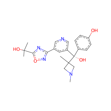 CN1CC(C)([C@](O)(c2ccc(O)cc2)c2cncc(-c3noc(C(C)(C)O)n3)c2)C1